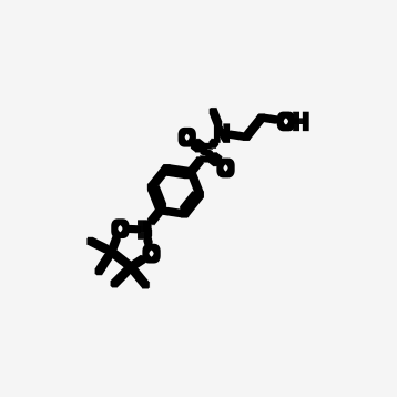 CN(CCO)S(=O)(=O)c1ccc(B2OC(C)(C)C(C)(C)O2)cc1